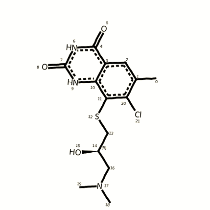 Cc1cc2c(=O)[nH]c(=O)[nH]c2c(SC[C@H](O)CN(C)C)c1Cl